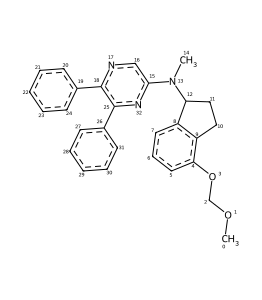 COCOc1cccc2c1CCC2N(C)c1cnc(-c2ccccc2)c(-c2ccccc2)n1